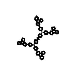 CC(C)(c1ccc(N(c2ccc(-c3ccc4c(c3)C3(CCCC3)c3ccccc3-4)cc2)c2ccc(-c3ccc4c(c3)C3(CCCC3)c3ccccc3-4)cc2)cc1)c1ccc(N(c2ccc(-c3ccc4c(c3)C3(CCCC3)c3ccccc3-4)cc2)c2ccc(-c3ccc4c(c3)C3(CCCC3)c3ccccc3-4)cc2)cc1